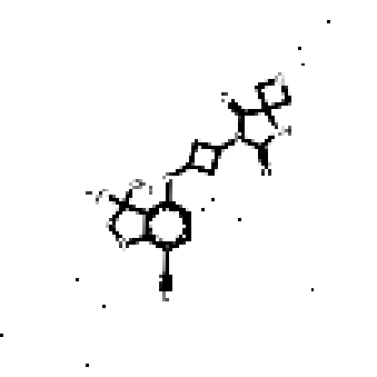 CC1(C)COc2c(C#N)ccc(OC3CC(N4C(=O)NC5(COC5)C4=O)C3)c21